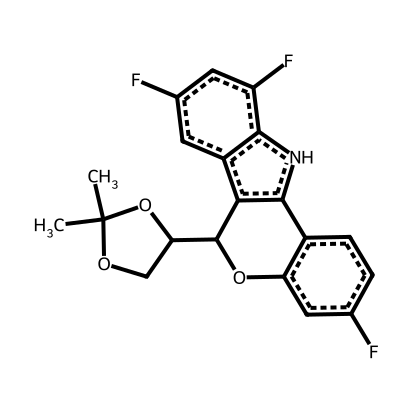 CC1(C)OCC(C2Oc3cc(F)ccc3-c3[nH]c4c(F)cc(F)cc4c32)O1